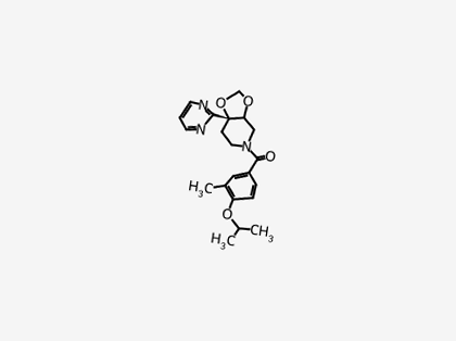 Cc1cc(C(=O)N2CC[C@]3(c4ncccn4)OCOC3C2)ccc1OC(C)C